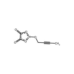 CC#CCOn1oc(=O)c(=O)o1